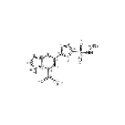 CC(C)(C)NS(=O)(=O)c1ccc(-c2cc(C(N)=O)c3[nH]ccc3c2)s1